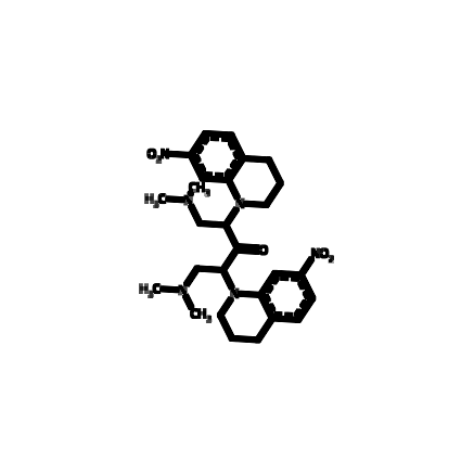 CN(C)CC(C(=O)C(CN(C)C)N1CCCc2ccc([N+](=O)[O-])cc21)N1CCCc2ccc([N+](=O)[O-])cc21